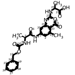 Cc1cc(NC(=O)[C@H](C)NC(=O)OCc2ccccc2)cc2nc(NC(C)C(=O)O)oc(=O)c12